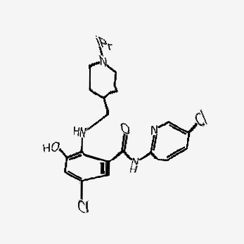 CC(C)N1CCC(CNc2c(O)cc(Cl)cc2C(=O)Nc2ccc(Cl)cn2)CC1